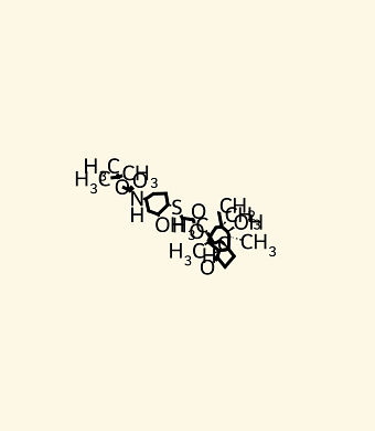 C=C[C@]1(C)C[C@@H](OC(=O)CS[C@H]2CC[C@H](NC(=O)OC(C)(C)C)C[C@@H]2O)[C@]2(C)C(C)CC[C@]3(CCC(=O)[C@H]32)[C@@H](C)[C@@H]1O